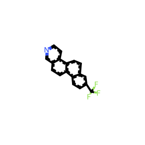 FC(F)(F)c1ccc2c(ccc3c4ccncc4ccc23)c1